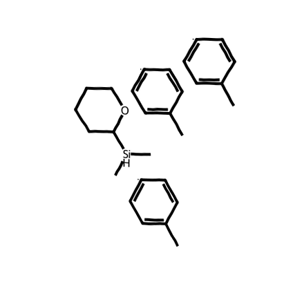 C[SiH](C)C1CCCCO1.Cc1cc[c]cc1.Cc1cc[c]cc1.Cc1cc[c]cc1